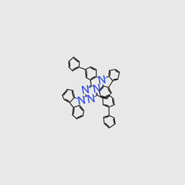 c1ccc(-c2cccc(-c3nc(-c4cc(-c5ccccc5)ccc4-n4c5ccccc5c5ccccc54)nc(-n4c5ccccc5c5ccccc54)n3)c2)cc1